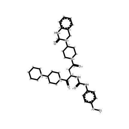 CCOc1ccc(NC(=O)N[C@H](CC(=O)N2CCC(N3Cc4ccccc4NC3=O)CC2)C(=O)N2CCC(N3CCCCC3)CC2)cc1